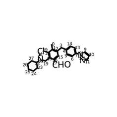 Cc1c(Cc2ccc(-n3cccn3)cc2)cc(C=O)c(CN(C)C2CCCCC2)c1Cl